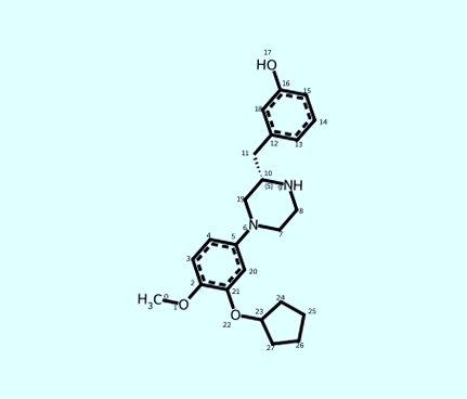 COc1ccc(N2CCN[C@@H](Cc3cccc(O)c3)C2)cc1OC1CCCC1